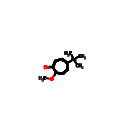 COc1cc[c]([Sn]([CH3])([CH3])[CH3])ccc1=O